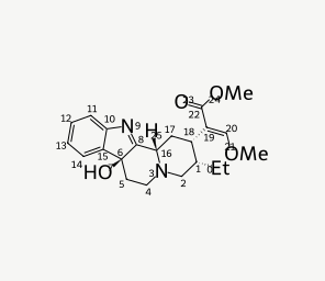 CC[C@@H]1CN2CC[C@@]3(O)C(=Nc4ccccc43)[C@@H]2C[C@@H]1/C(=C\OC)C(=O)OC